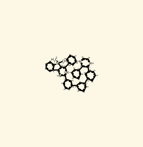 C[Si]1(C)c2ccccc2-c2nc(-c3cccc(-c4cccc(-c5cccc(-c6nccnc6-c6ccccc6)c5)c4)c3)nc(-c3ccccc3)c21